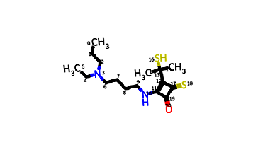 CCCN(CC)CCCCNc1c(C(C)(C)S)c(=S)c1=O